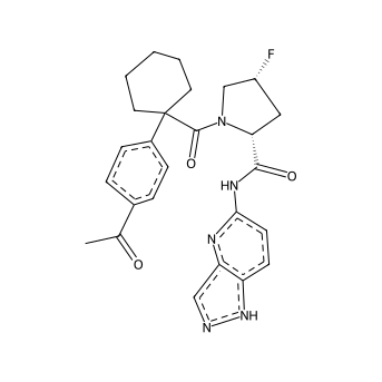 CC(=O)c1ccc(C2(C(=O)N3C[C@H](F)C[C@@H]3C(=O)Nc3ccc4[nH]ncc4n3)CCCCC2)cc1